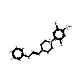 Oc1cc(F)c(N2CCC(C=CCc3ccccc3)CC2)cc1F